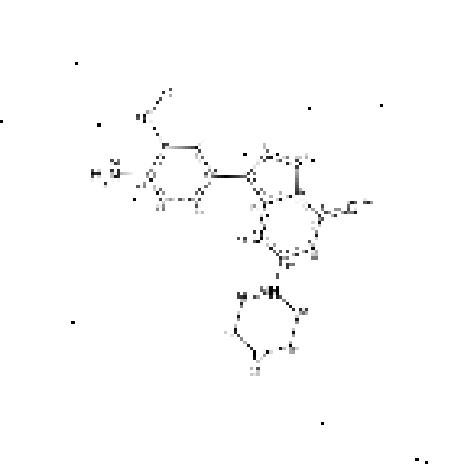 COc1cc(-c2csc3c(=O)cc(N4CCOCC4)oc23)ccc1N